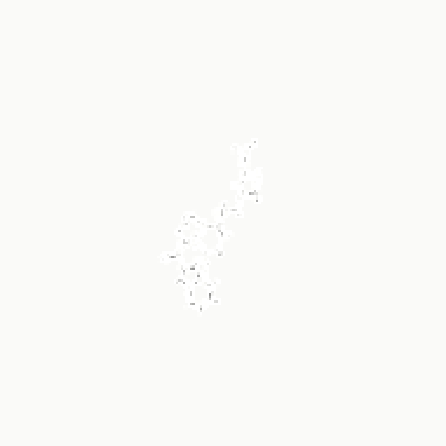 CCN(C(=O)c1cc2ccccc2[nH]1)[C@H]1CCC=C(NCc2cc(C3CC3)on2)C1